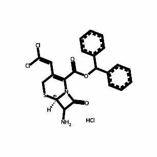 Cl.NC1C(=O)N2C(C(=O)OC(c3ccccc3)c3ccccc3)=C(C=C(Cl)Cl)CS[C@H]12